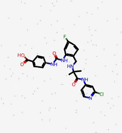 CC(C)(NCc1ccc(F)cc1NC(=O)Nc1ccc(C(=O)O)cc1)C(=O)Nc1ccnc(Cl)c1